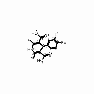 CC1=C(C(=O)O)C(c2ccc(F)c(F)c2)C(C(=O)O)=C(C)N1